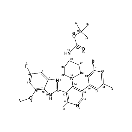 COc1cc(F)cc2nc(-c3c(C)ncc(-c4cc(C)cc(F)c4)c3N3CCC(NC(=O)OC(C)(C)C)CC3)[nH]c12